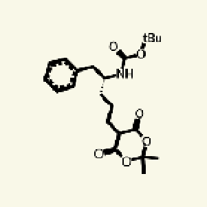 CC(C)(C)OC(=O)N[C@H](CCCC1C(=O)OC(C)(C)OC1=O)Cc1ccccc1